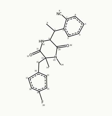 CC(c1ccccc1C#N)C1NC(=O)C(C)(Cc2ccc(F)cc2)N(C)C1=O